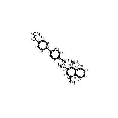 COc1ccc(-c2ccc(NNc3cc(S)c4ccccc4c3N)cn2)cc1